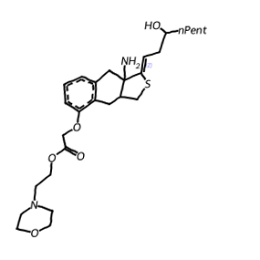 CCCCCC(O)C/C=C1\SCC2Cc3c(cccc3OCC(=O)OCCN3CCOCC3)CC12N